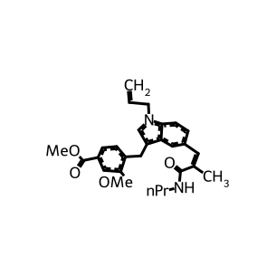 C=CCn1cc(Cc2ccc(C(=O)OC)cc2OC)c2cc(C=C(C)C(=O)NCCC)ccc21